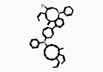 C=C1/C=C(/C=C\C)C(\CC)=C/CN(C2=CCCC=C2)c2cccc(C3=CCC(N(c4ccccc4)c4ccccc(/C=C\C)c(/C=C\C)c(C)cc4)=CC=C3)c21